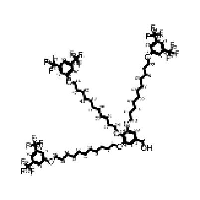 OCc1cc(OCCCCCCCCCCCOc2cc(C(F)(F)F)cc(C(F)(F)F)c2)c(OCCCCCCCCCCCOc2cc(C(F)(F)F)cc(C(F)(F)F)c2)c(OCCCCCCCCCCCOc2cc(C(F)(F)F)cc(C(F)(F)F)c2)c1